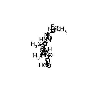 CCc1cc(Nc2nccn3c(-c4ccc(OC)c(F)c4F)cnc23)ccc1C(=O)N[C@@H](CNC(=O)C1CCN(C(=O)O)CC1)C(=O)OC